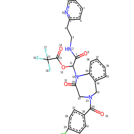 O=C(NCCc1ccccn1)C(OC(=O)C(F)(F)F)N1C(=O)CN(C(=O)c2ccc(Cl)cc2)Cc2ccccc21